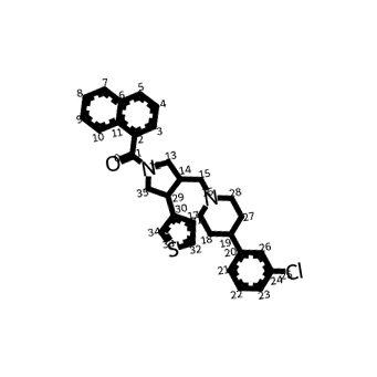 O=C(c1cccc2ccccc12)N1CC(CN2CCC(c3cccc(Cl)c3)CC2)C(c2ccsc2)C1